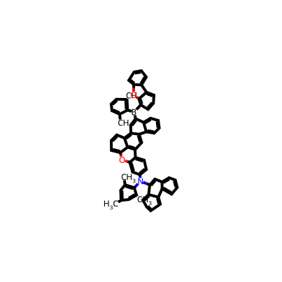 Cc1cc(C)c(N(c2ccc3c(c2)Oc2cccc4c2c-3cc2c3ccccc3c(B(c3c(C)cccc3C)c3cccc5c3oc3ccccc35)cc42)c2cc3ccccc3c3ccccc23)c(C)c1